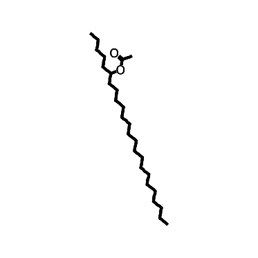 CCCCCCCCCCCCCCCCCCC(CCCCC)OC(C)=O